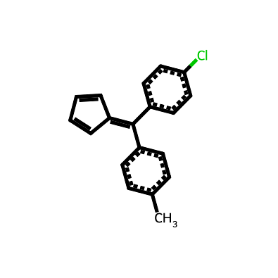 Cc1ccc(C(=C2C=CC=C2)c2ccc(Cl)cc2)cc1